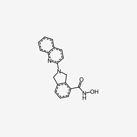 O=C(NO)c1cccc2c1CN(c1ccc3ccccc3n1)C2